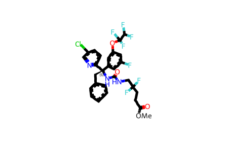 COC(=O)CCC(F)(F)CNC(=O)N[C@@](Cc1ccccc1)(c1cc(F)cc(OC(F)(F)C(F)F)c1)c1ccc(Cl)cn1